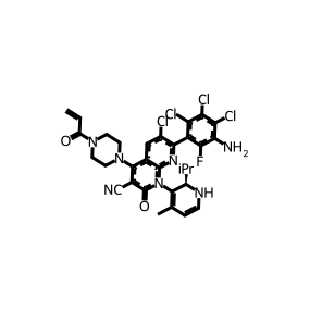 C=CC(=O)N1CCN(c2c(C#N)c(=O)n(C3=C(C)C=CN[C@@H]3C(C)C)c3nc(-c4c(F)c(N)c(Cl)c(Cl)c4Cl)c(Cl)cc23)CC1